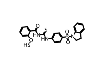 O=C(NC(=S)Nc1ccc(S(=O)(=O)N2CCc3ccccc32)cc1)c1ccccc1OS